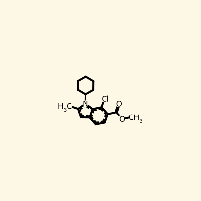 COC(=O)c1ccc2cc(C)n(C3CCCCC3)c2c1Cl